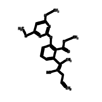 C=CC[N+](O)=C(C)c1cccc(Oc2nc(OC)cc(OC)n2)c1C(=O)OC